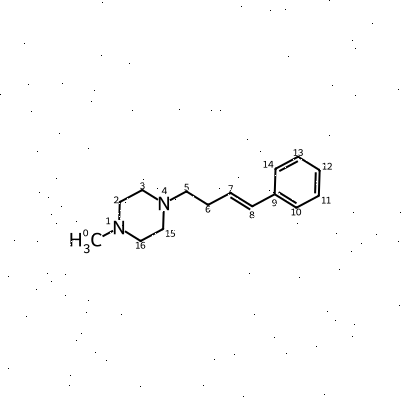 CN1CCN(CC/C=C/c2ccccc2)CC1